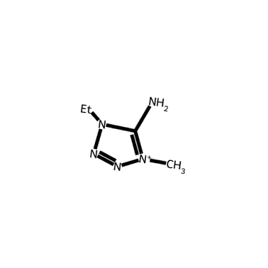 CCn1nn[n+](C)c1N